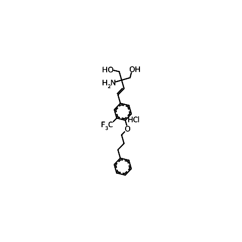 Cl.NC(/C=C/c1ccc(OCCCc2ccccc2)c(C(F)(F)F)c1)(CO)CO